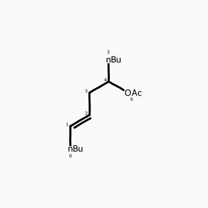 CCCCC=CCC(CCCC)OC(C)=O